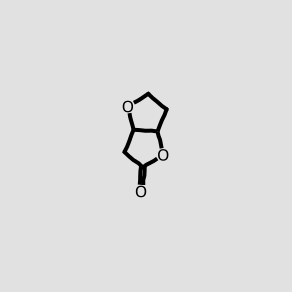 O=C1CC2OCCC2O1